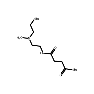 CN(CCNC(=O)CCC(=O)C(C)(C)C)CCC(C)(C)C